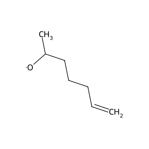 C=CCCCC(C)[O]